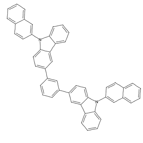 c1cc(-c2ccc3c(c2)c2ccccc2n3-c2ccc3ccccc3c2)cc(-c2ccc3c(c2)c2ccccc2n3-c2ccc3ccccc3c2)c1